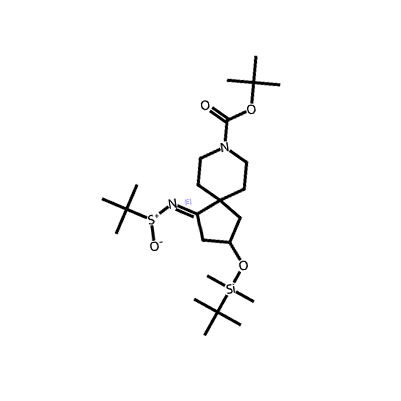 CC(C)(C)OC(=O)N1CCC2(CC1)CC(O[Si](C)(C)C(C)(C)C)C/C2=N\[S+]([O-])C(C)(C)C